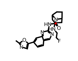 Cc1ncc(-c2ccc3cnc(NC(=O)N4C5CCC4CC(NCCF)C5)nc3c2)o1